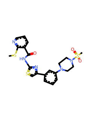 CSc1ncccc1C(=O)Nc1nc(-c2cccc(N3CCN(S(C)(=O)=O)CC3)c2)cs1